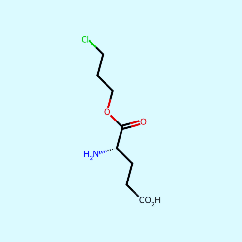 N[C@@H](CCC(=O)O)C(=O)OCCCCl